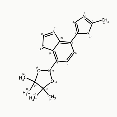 Cc1ncc(-c2ccc(B3OC(C)(C)C(C)(C)O3)c3scnc23)s1